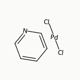 [Cl][Pd][Cl].c1ccncc1